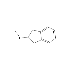 COC1[CH]c2ccccc2C1